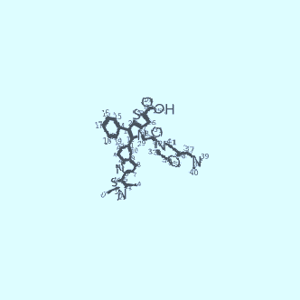 Cc1nc(C)c(-c2ccc3cc(-c4c(-c5ccccc5)c5sc(C(=O)O)cc5n4CC(=O)N4CCOC(CN(C)C)C4)ccc3n2)s1